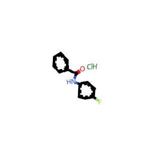 Cl.O=C(Nc1ccc(F)cc1)c1ccccc1